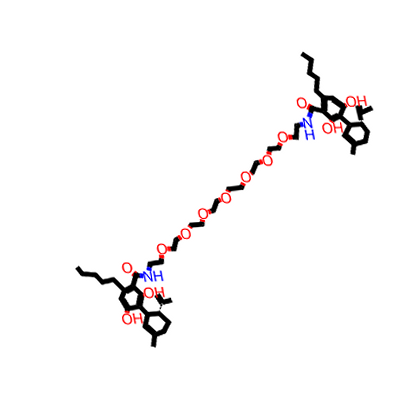 C=C(C)[C@@H]1CCC(C)=CC1c1c(O)cc(CCCCC)c(C(=O)NCCOCCOCCOCCOCCOCCOCCOCCNC(=O)c2c(CCCCC)cc(O)c(C3C=C(C)CC[C@H]3C(=C)C)c2O)c1O